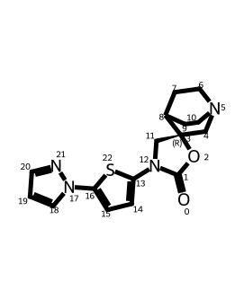 O=C1O[C@]2(CN3CCC2CC3)CN1c1ccc(-n2cccn2)s1